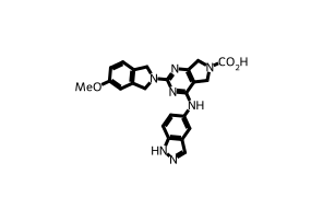 COc1ccc2c(c1)CN(c1nc3c(c(Nc4ccc5[nH]ncc5c4)n1)CN(C(=O)O)C3)C2